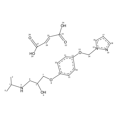 CC(C)NCC(O)COc1ccc(OCn2cccn2)cc1.O=C(O)C=CC(=O)O